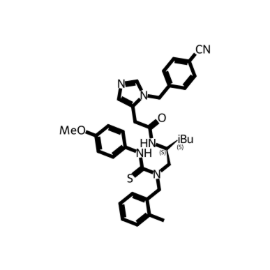 CC[C@H](C)[C@@H](CN(Cc1ccccc1C)C(=S)Nc1ccc(OC)cc1)NC(=O)Cc1cncn1Cc1ccc(C#N)cc1